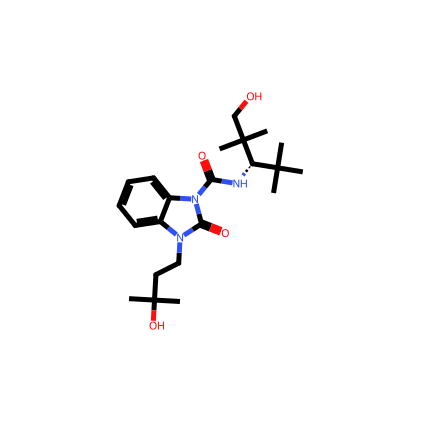 CC(C)(O)CCn1c(=O)n(C(=O)N[C@@H](C(C)(C)C)C(C)(C)CO)c2ccccc21